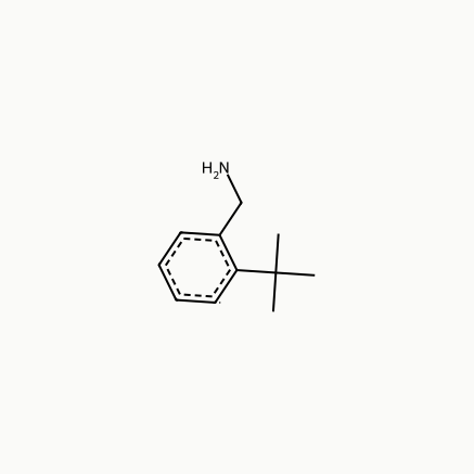 CC(C)(C)c1[c]cccc1CN